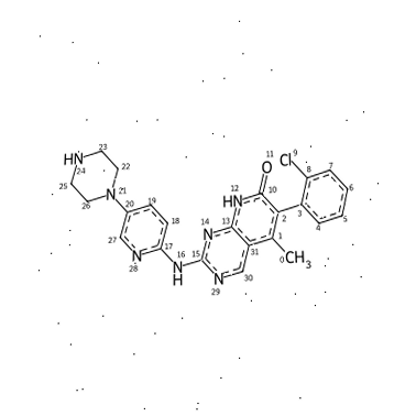 Cc1c(-c2ccccc2Cl)c(=O)[nH]c2nc(Nc3ccc(N4CCNCC4)cn3)ncc12